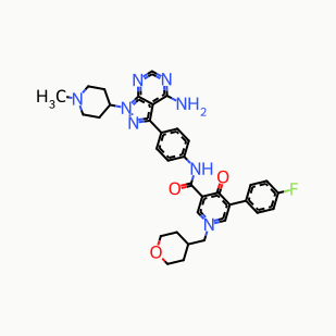 CN1CCC(n2nc(-c3ccc(NC(=O)c4cn(CC5CCOCC5)cc(-c5ccc(F)cc5)c4=O)cc3)c3c(N)ncnc32)CC1